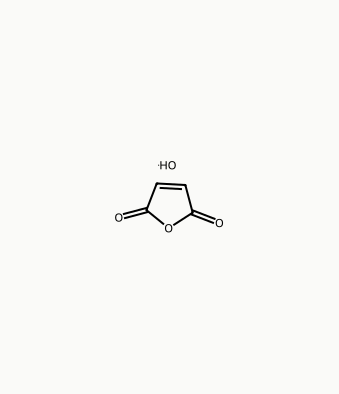 O=C1C=CC(=O)O1.[OH]